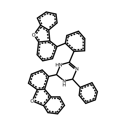 c1ccc(C2N=C(c3ccccc3-c3cccc4oc5ccccc5c34)NC(c3cccc4oc5ccccc5c34)N2)cc1